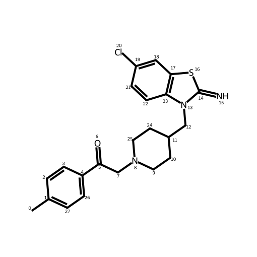 Cc1ccc(C(=O)CN2CCC(Cn3c(=N)sc4cc(Cl)ccc43)CC2)cc1